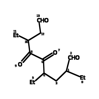 CCC(C=O)CC(CC)C(=O)C(=O)C(CC)CC=O